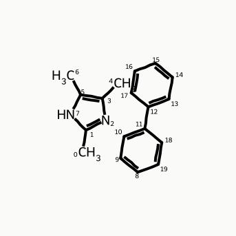 Cc1nc(C)c(C)[nH]1.c1ccc(-c2ccccc2)cc1